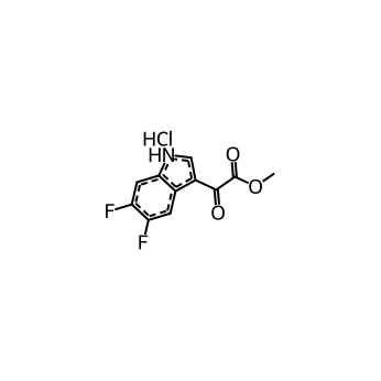 COC(=O)C(=O)c1c[nH]c2cc(F)c(F)cc12.Cl